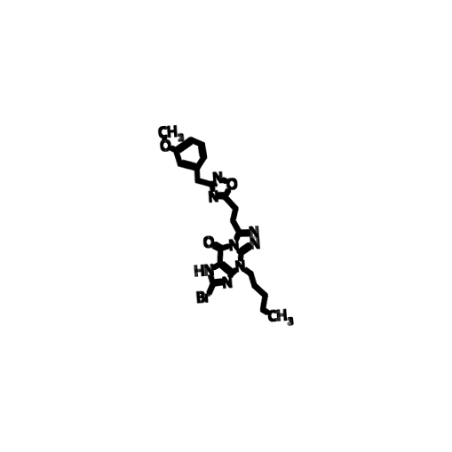 CCCCCn1c2nc(Br)[nH]c2c(=O)n2c(CCc3nc(Cc4cccc(OC)c4)no3)nnc12